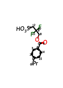 CC(C)c1ccc(C(=O)OCC(F)(F)CS(=O)(=O)O)cc1